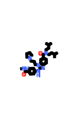 CNC(=O)c1ccc(Nc2nc3ccc(C(=O)N(CCC(C)C)CCC(C)C)cc3n2CCCN2CCCC2)cc1